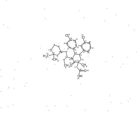 CCC(CN1CCOC(C)(C)C1)N1C(=O)C(C)(CC(=O)O)CC(c2cccc(Cl)c2)C1c1ccc(Cl)cc1